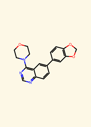 c1nc(N2CCOCC2)c2cc(-c3ccc4c(c3)OCO4)ccc2n1